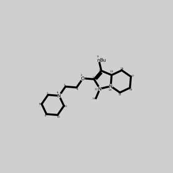 CCCCC1=C(OCCN2CCCCC2)N(C)N2CCCCC12